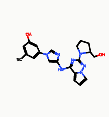 N#Cc1cc(O)cc(-n2cnc(Nc3nc(N4CCCC4CO)nn4cccc34)c2)c1